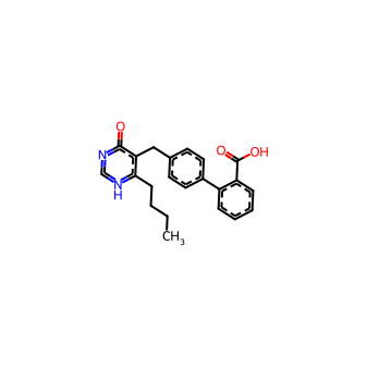 CCCCc1[nH]cnc(=O)c1Cc1ccc(-c2ccccc2C(=O)O)cc1